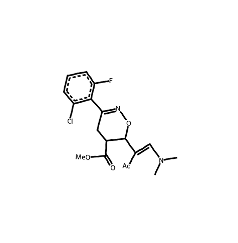 COC(=O)C1CC(c2c(F)cccc2Cl)=NOC1/C(=C/N(C)C)C(C)=O